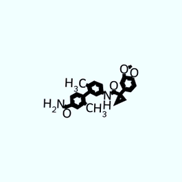 Cc1cc(C(N)=O)ccc1-c1cc(NC(=O)C2(c3ccc4c(c3)OCO4)CC2)ccc1C